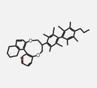 CCCc1c(C)c(C)c(-c2c(C)c(C)c(C3COc4ccc5c(c4-c4c(ccc6c4CCCC6)OC3)CCCC5)c(C)c2C)c(C)c1C